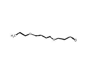 CCCOCCCCOCCC[O]